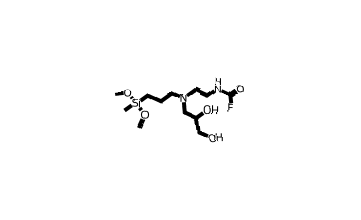 CO[Si](C)(CCCN(CCNC(=O)F)CC(O)CO)OC